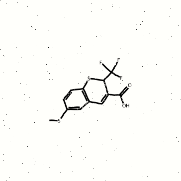 CSc1ccc2c(c1)C=C(C(=O)O)C(C(F)(F)F)S2